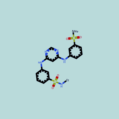 CCNS(=O)(=O)c1cccc(Nc2cc(Nc3cccc(S(=O)(=O)NC)c3)ncn2)c1